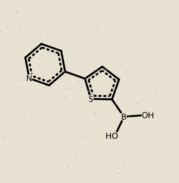 OB(O)c1ccc(-c2cccnc2)s1